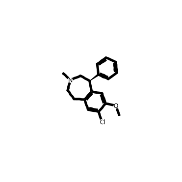 COc1cc2c(cc1Cl)CCN(C)C[C@H]2c1ccccc1